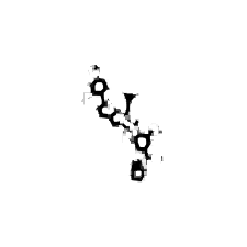 COc1ccc(-c2ccc3cc(-c4nc5cc(C(=O)N6CC7CCC6C7C)cc(OC)c5n4C)n(CC4CC4)c3n2)c(F)c1